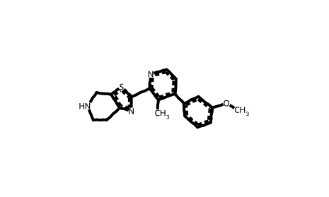 COc1cccc(-c2ccnc(-c3nc4c(s3)CNCC4)c2C)c1